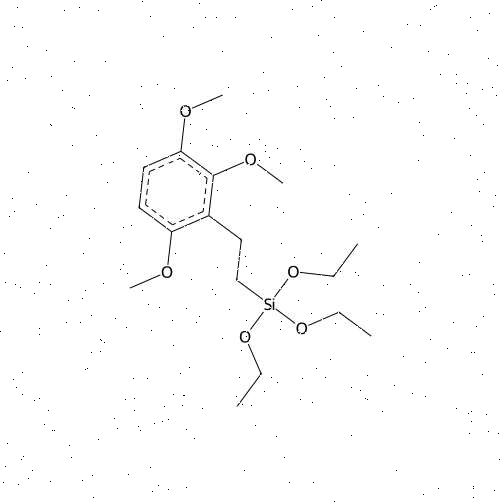 CCO[Si](CCc1c(OC)ccc(OC)c1OC)(OCC)OCC